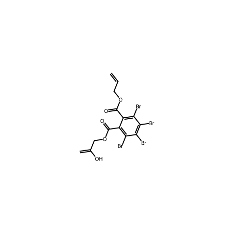 C=CCOC(=O)c1c(Br)c(Br)c(Br)c(Br)c1C(=O)OCC(=C)O